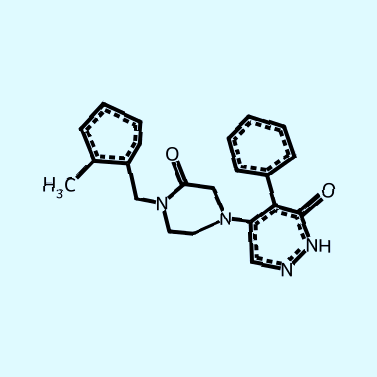 Cc1ccccc1CN1CCN(c2cn[nH]c(=O)c2-c2ccccc2)CC1=O